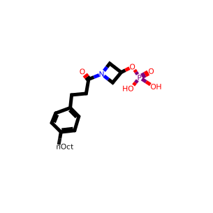 CCCCCCCCc1ccc(CCC(=O)N2CC(OP(=O)(O)O)C2)cc1